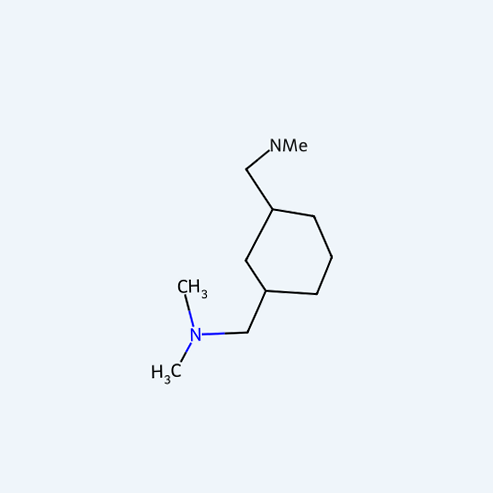 CNCC1CCCC(CN(C)C)C1